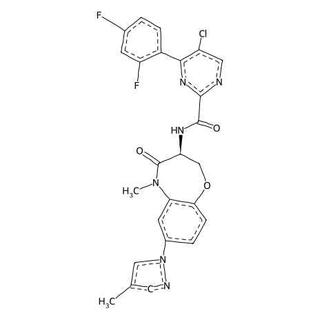 Cc1cnn(-c2ccc3c(c2)N(C)C(=O)[C@@H](NC(=O)c2ncc(Cl)c(-c4ccc(F)cc4F)n2)CO3)c1